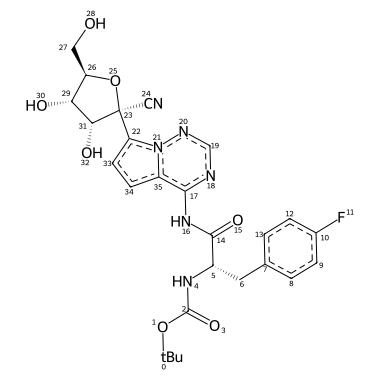 CC(C)(C)OC(=O)N[C@@H](Cc1ccc(F)cc1)C(=O)Nc1ncnn2c([C@]3(C#N)O[C@H](CO)[C@@H](O)[C@H]3O)ccc12